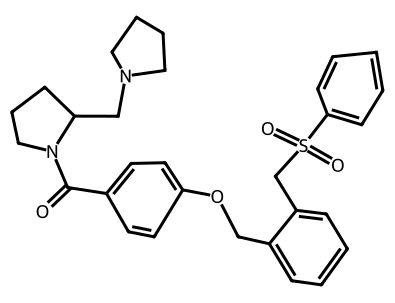 O=C(c1ccc(OCc2ccccc2CS(=O)(=O)c2ccccc2)cc1)N1CCCC1CN1CCCC1